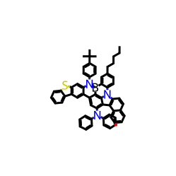 CCCCCc1ccc2c(c1)B1c3c(cc(N(c4ccccc4)c4ccccc4)c4c5c6ccccc6ccc5n-2c34)-c2cc3c(cc2N1c1ccc(C(C)(C)C)cc1)sc1ccccc13